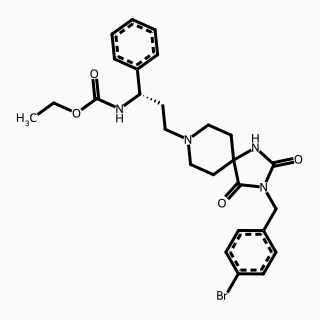 CCOC(=O)N[C@@H](CCN1CCC2(CC1)NC(=O)N(Cc1ccc(Br)cc1)C2=O)c1ccccc1